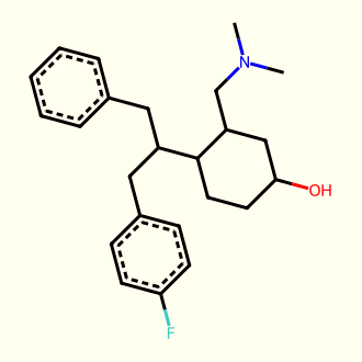 CN(C)CC1CC(O)CCC1C(Cc1ccccc1)Cc1ccc(F)cc1